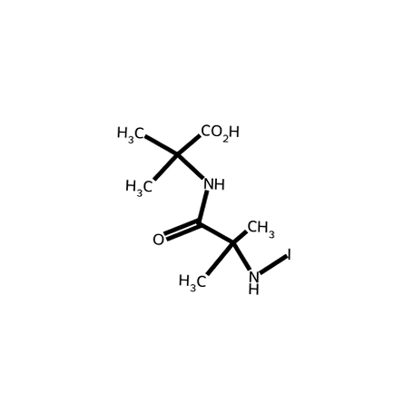 CC(C)(NC(=O)C(C)(C)NI)C(=O)O